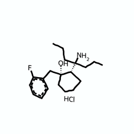 CCCC(N)(CCC)[C@@H]1CCCC[C@@]1(O)Cc1ccccc1F.Cl